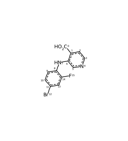 O=C(O)c1ccncc1Nc1ccc(Br)cc1F